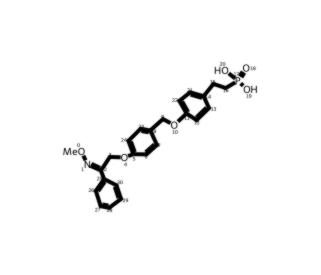 CO/N=C(\COc1ccc(COc2ccc(CCP(=O)(O)O)cc2)cc1)c1ccccc1